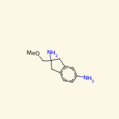 COCC1(N)Cc2ccc(N)cc2C1